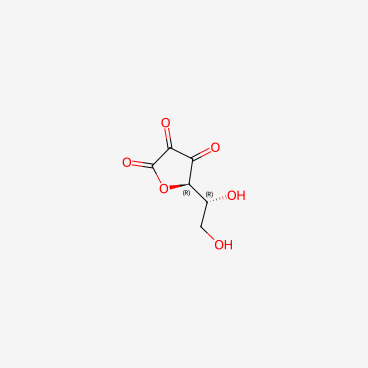 O=C1O[C@H]([C@H](O)CO)C(=O)C1=O